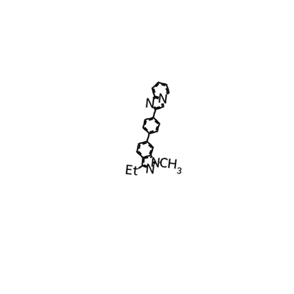 CCc1nn(C)c2cc(-c3ccc(-c4cn5ccccc5n4)cc3)ccc12